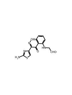 CO/N=C(\C(=O)c1ccccc1NC[C]=O)c1csc(N)n1